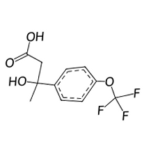 CC(O)(CC(=O)O)c1ccc(OC(F)(F)F)cc1